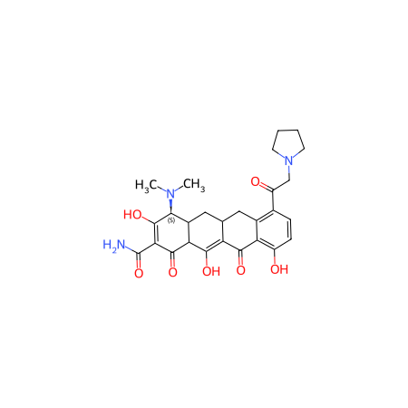 CN(C)[C@@H]1C(O)=C(C(N)=O)C(=O)C2C(O)=C3C(=O)c4c(O)ccc(C(=O)CN5CCCC5)c4CC3CC21